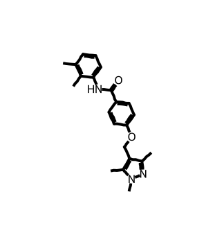 Cc1cccc(NC(=O)c2ccc(OCc3c(C)nn(C)c3C)cc2)c1C